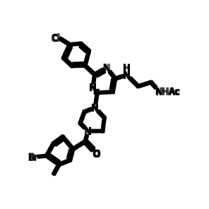 CC(=O)NCCNc1cc(N2CCN(C(=O)c3ccc(Br)c(C)c3)CC2)nc(-c2ccc(Cl)cc2)n1